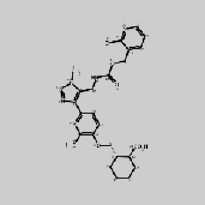 Cc1nc(-c2nnn(C)c2CNC(=O)OCc2cccnc2Cl)ccc1OC[C@H]1CCCC[C@@H]1C(=O)O